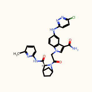 Cc1cccc(NC(=O)[C@@H]2C3CCC(C3)N2C(=O)Cn2cc(C(N)=O)c3cc(Nc4ccc(Cl)nn4)ccc32)n1